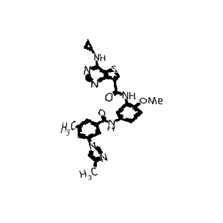 COc1ccc(NC(=O)c2cc(C)cc(-n3cnc(C)c3)c2)cc1NC(=O)c1csc2c(NC3CC3)ncnc12